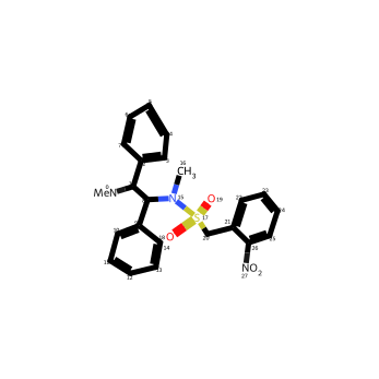 CNC(c1ccccc1)C(c1ccccc1)N(C)S(=O)(=O)Cc1ccccc1[N+](=O)[O-]